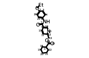 CCOc1ccc(NC(=O)c2ccc(COC(=O)C3CCCCC3)nc2)cc1